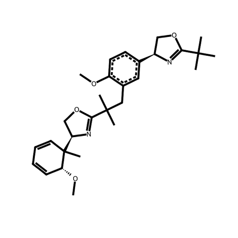 COc1ccc([C@H]2COC(C(C)(C)C)=N2)cc1CC(C)(C)C1=N[C@@H](C2(C)C=CC=C[C@H]2OC)CO1